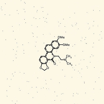 COc1cc2ccc3c4ccc5c(c4c(=O)n(CCN(C)C)c3c2cc1OC)OCO5